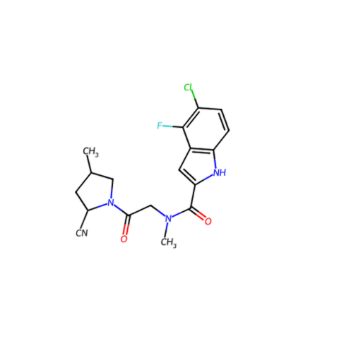 CC1CC(C#N)N(C(=O)CN(C)C(=O)c2cc3c(F)c(Cl)ccc3[nH]2)C1